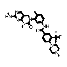 CNc1ncc2c(n1)N(C)C(=O)N(c1cc(NC(=O)c3ccc(N4CCN(C)CC4)c(C(F)(F)F)c3)ccc1C)C2